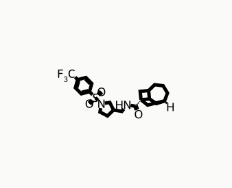 O=C(NCC1CCN(S(=O)(=O)c2ccc(C(F)(F)F)cc2)C1)[C@]12CC3CCC[C@H](CC31)C2